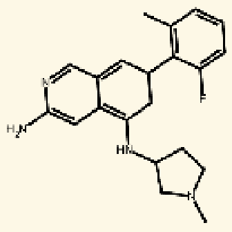 Cc1cccc(F)c1C1C=c2cnc(N)cc2=C(NC2CCN(C)C2)C1